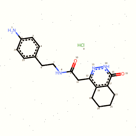 Cl.Nc1ccc(CCNC(=O)Cc2n[nH]c(=O)c3c2CCCC3)cc1